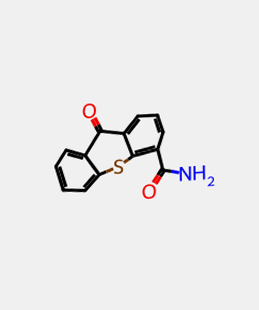 NC(=O)c1cccc2c(=O)c3ccccc3sc12